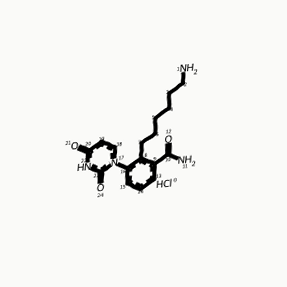 Cl.NCCCCCCc1c(C(N)=O)cccc1-n1ccc(=O)[nH]c1=O